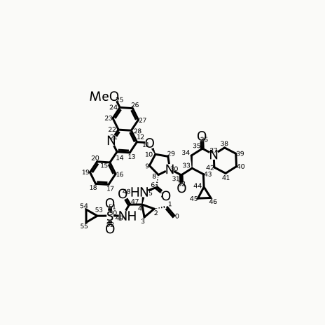 C=C[C@@H]1C[C@]1(NC(=O)[C@@H]1C[C@@H](Oc2cc(-c3ccccc3)nc3cc(OC)ccc23)CN1C(=O)[C@@H](CC(=O)N1CCCCC1)CC1CC1)C(=O)NS(=O)(=O)C1CC1